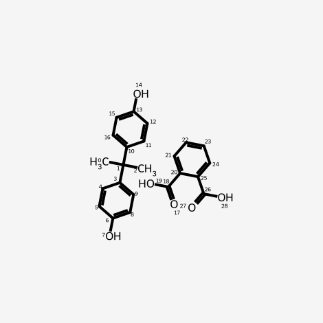 CC(C)(c1ccc(O)cc1)c1ccc(O)cc1.O=C(O)c1ccccc1C(=O)O